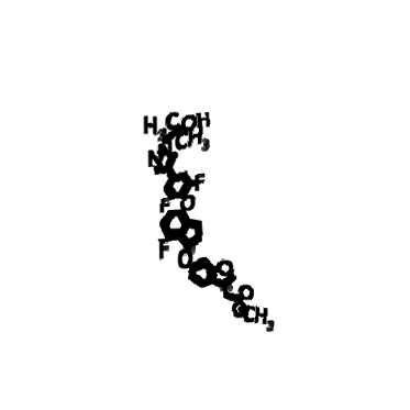 COC(=O)C[C@@H]1COc2cc(O[C@@H]3CCc4c(Oc5c(F)cc(-c6cnn(CC(C)(C)O)c6)cc5F)ccc(F)c43)ccc21